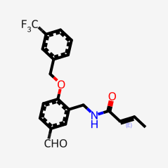 C/C=C/C(=O)NCc1cc(C=O)ccc1OCc1cccc(C(F)(F)F)c1